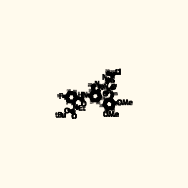 [CH2]CN(C(=O)OC(C)(C)C)c1cc(F)ccc1C(=O)Nc1cccc2c1cnn2N(c1ncc(Cl)s1)S(=O)(=O)Cc1ccc(OC)cc1OC